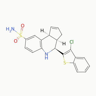 NS(=O)(=O)c1ccc2c(c1)[C@H]1C=CC[C@H]1[C@@H](c1sc3ccccc3c1Cl)N2